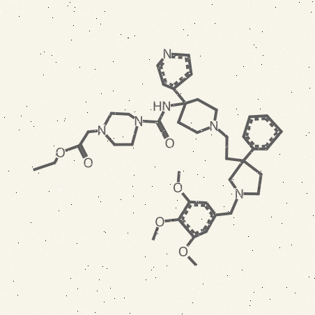 CCOC(=O)CN1CCN(C(=O)NC2(c3ccncc3)CCN(CCC3(c4ccccc4)CCN(Cc4cc(OC)c(OC)c(OC)c4)C3)CC2)CC1